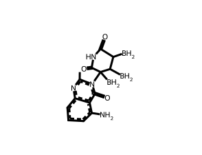 BC1C(=O)NC(=O)C(B)(n2c(C)nc3cccc(N)c3c2=O)C1B